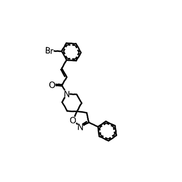 O=C(C=Cc1ccccc1Br)N1CCC2(CC1)CC(c1ccccc1)=NO2